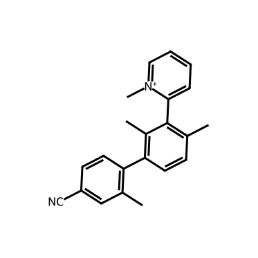 Cc1cc(C#N)ccc1-c1ccc(C)c(-c2cccc[n+]2C)c1C